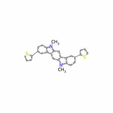 Cn1c2ccc(-c3cccs3)cc2c2cc3c(cc21)c1cc(-c2cccs2)ccc1n3C